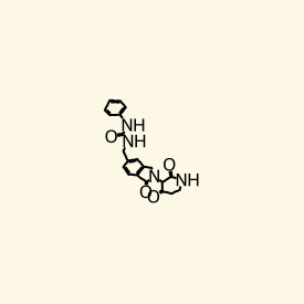 O=C(NCc1ccc2c(c1)CN(C1C(=O)CCNC1=O)C2=O)Nc1ccccc1